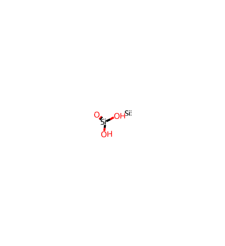 O=[Si](O)O.[Si]